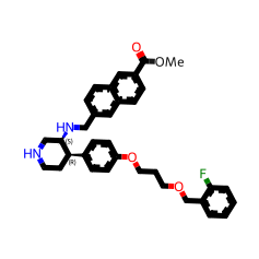 COC(=O)c1ccc2cc(CN[C@@H]3CNCC[C@@H]3c3ccc(OCCCOCc4ccccc4F)cc3)ccc2c1